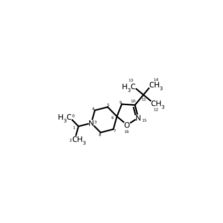 CC(C)N1CCC2(CC1)CC(C(C)(C)C)=NO2